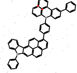 c1ccc(-c2ccc(N(c3ccccc3)c3ccc(-c4ccc5ccc6cc7c(c8ccc4c5c68)c4ccccc4n7-c4ccccc4)cc3)c(-c3ccccc3)c2)cc1